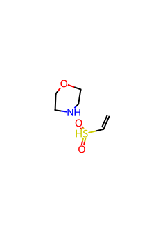 C1COCCN1.C=C[SH](=O)=O